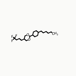 CCCCCCC1CCC(C2OCC(CCCC(F)(F)F)CO2)CC1